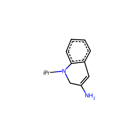 CC(C)N1CC(N)=Cc2ccccc21